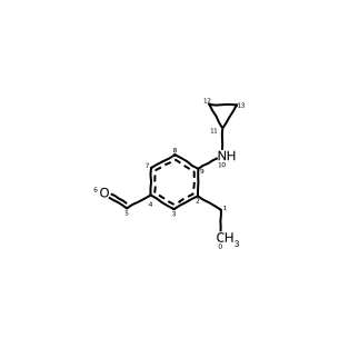 CCc1cc(C=O)ccc1NC1CC1